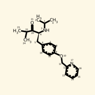 CC(C)N[C@@H](Cc1ccc(OCc2ccccn2)cc1)C(=O)C(C)C